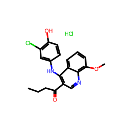 CCCC(=O)c1cnc2c(OC)cccc2c1Nc1ccc(O)c(Cl)c1.Cl